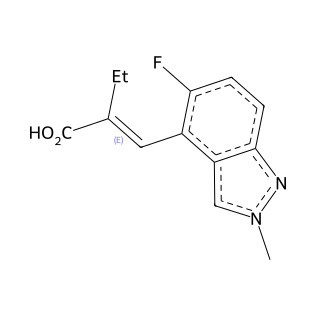 CC/C(=C\c1c(F)ccc2nn(C)cc12)C(=O)O